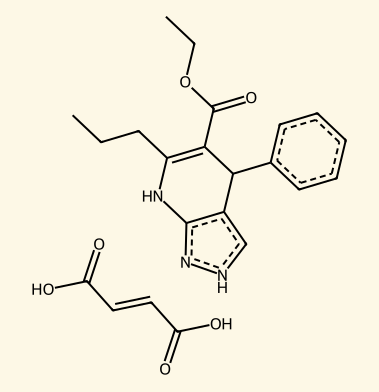 CCCC1=C(C(=O)OCC)C(c2ccccc2)c2c[nH]nc2N1.O=C(O)C=CC(=O)O